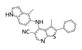 Cc1c(Nc2c(C#N)cnc3sc(-c4ccccc4)c(C)c23)ccc2[nH]ccc12